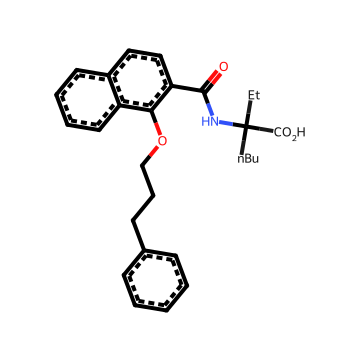 CCCCC(CC)(NC(=O)c1ccc2ccccc2c1OCCCc1ccccc1)C(=O)O